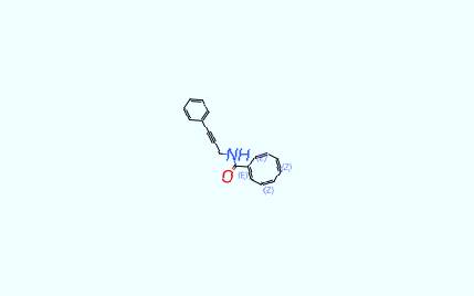 O=C(NCC#Cc1ccccc1)C1=C/C=C\C=C/C=C\1